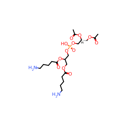 CC(=O)OC[C@H](COP(=O)(O)OCC(COC(=O)CCCCN)OC(=O)CCCCN)OC(C)=O